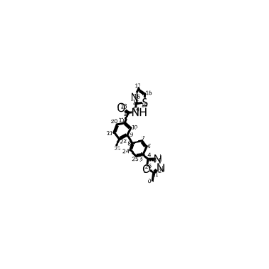 Cc1nnc(-c2ccc(-c3cc(C(=O)Nc4nccs4)ccc3C)cc2)o1